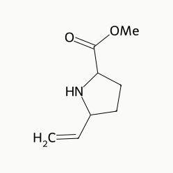 C=CC1CCC(C(=O)OC)N1